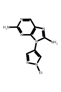 CCn1cc(-n2c(N)nc3cnc(N)nc32)cn1